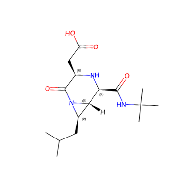 CC(C)C[C@@H]1[C@H]2[C@H](C(=O)NC(C)(C)C)N[C@H](CC(=O)O)C(=O)N21